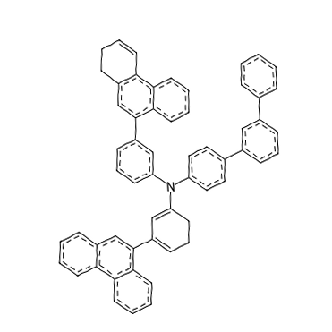 C1=Cc2c(cc(-c3cccc(N(C4=CC(c5cc6ccccc6c6ccccc56)=CCC4)c4ccc(-c5cccc(-c6ccccc6)c5)cc4)c3)c3ccccc23)CC1